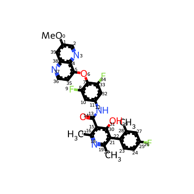 COc1cnc2c(Oc3c(F)cc(NC(=O)c4c(C)nc(C)c(-c5ccc(F)cc5C)c4O)cc3F)ccnc2c1